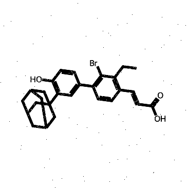 CCc1c(C=CC(=O)O)ccc(-c2ccc(O)c(C34CC5CC(CC(C5)C3)C4)c2)c1Br